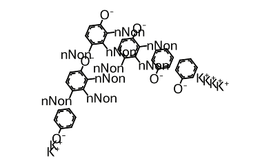 CCCCCCCCCc1ccc([O-])c(CCCCCCCCC)c1CCCCCCCCC.CCCCCCCCCc1ccc([O-])c(CCCCCCCCC)c1CCCCCCCCC.CCCCCCCCCc1ccc([O-])c(CCCCCCCCC)c1CCCCCCCCC.[K+].[K+].[K+].[K+].[K+].[K+].[O-]c1ccccc1.[O-]c1ccccc1.[O-]c1ccccc1